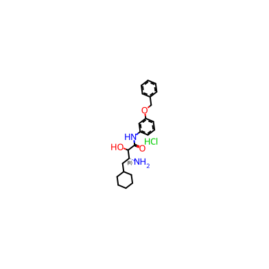 Cl.N[C@H](CC1CCCCC1)C(O)C(=O)Nc1cccc(OCc2ccccc2)c1